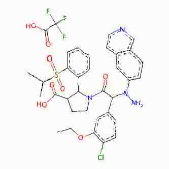 CCOc1cc(C(C(=O)N2CCC(C(=O)O)C2c2ccccc2S(=O)(=O)C(C)C)N(N)c2ccc3cnccc3c2)ccc1Cl.O=C(O)C(F)(F)F